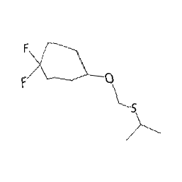 CC(C)SCOC1CCC(F)(F)CC1